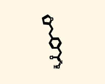 ON=C(Cl)Cc1ccc(CCc2ccco2)cc1